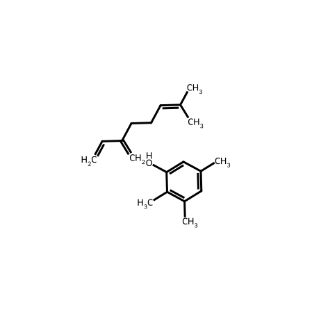 C=CC(=C)CCC=C(C)C.Cc1cc(C)c(C)c(O)c1